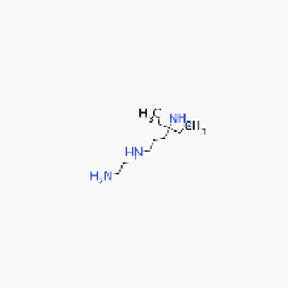 CCC(N)(CC)CCCNCCCN